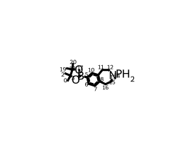 CC1(C)OB(c2ccc3c(c2)CCN(P)CC3)OC1(C)C